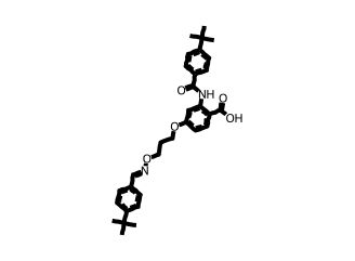 CC(C)(C)c1ccc(C=NOCCCOc2ccc(C(=O)O)c(NC(=O)c3ccc(C(C)(C)C)cc3)c2)cc1